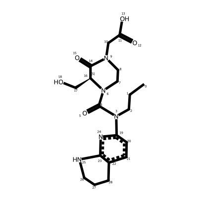 CCCN(C(=O)N1CCN(CC(=O)O)C(=O)[C@@H]1CO)c1ccc2c(n1)NCCC2